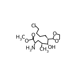 COC(=O)[C@H](N)C[C@H](C)[C@@H](O)[C@@H](CCCCCl)C1OCCO1